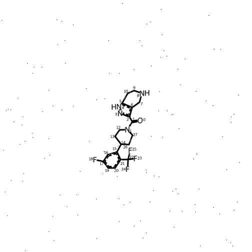 O=C(c1n[nH]c2c1CNCC2)N1CCC(c2cc(F)ccc2C(F)(F)F)CC1